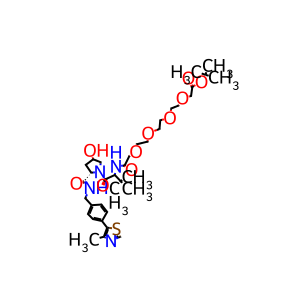 Cc1ncsc1-c1ccc(CNC(=O)[C@@H]2C[C@@H](O)CN2C(=O)C(NC(=O)COCCOCCOCCOCC(=O)OC(C)(C)C)C(C)(C)C)cc1